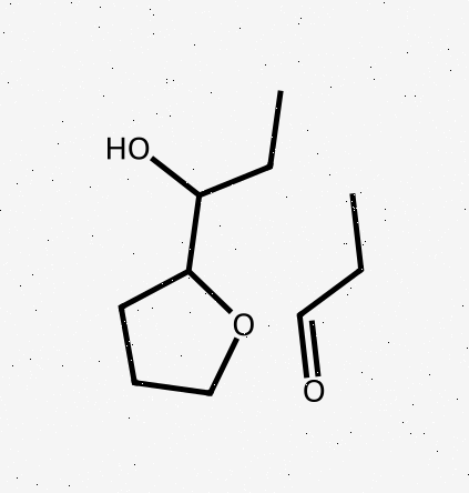 CCC(O)C1CCCO1.CCC=O